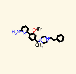 CC(C)Oc1cc(C(C)N2CCN(CCc3ccccc3)CC2)ccc1-c1cccc(N)n1